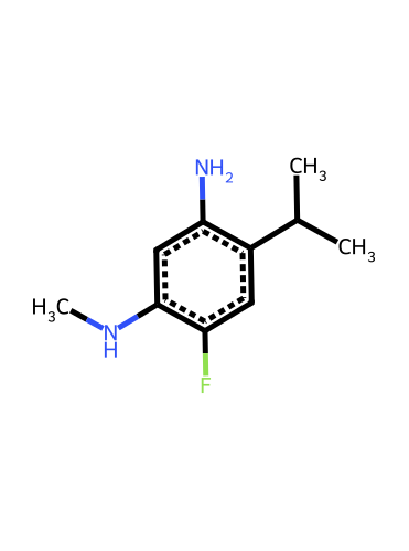 CNc1cc(N)c(C(C)C)cc1F